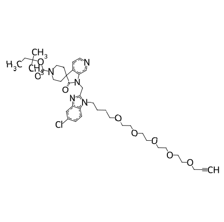 C#CCOCCOCCOCCOCCOCCCCn1c(CN2C(=O)C3(CCN(C(=O)OC(C)(C)CC)CC3)c3ccncc32)nc2cc(Cl)ccc21